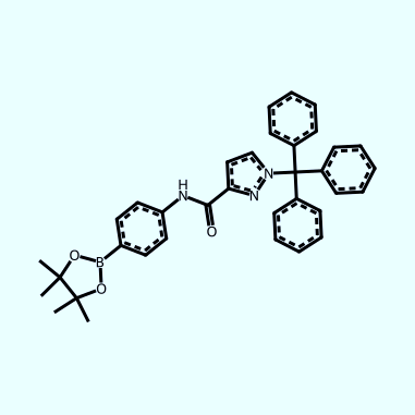 CC1(C)OB(c2ccc(NC(=O)c3ccn(C(c4ccccc4)(c4ccccc4)c4ccccc4)n3)cc2)OC1(C)C